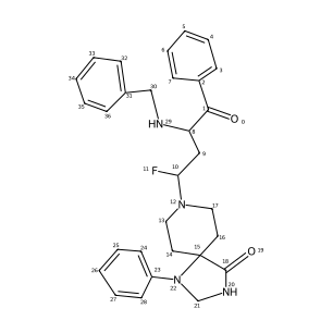 O=C(c1ccccc1)C(CC(F)N1CCC2(CC1)C(=O)NCN2c1ccccc1)NCc1ccccc1